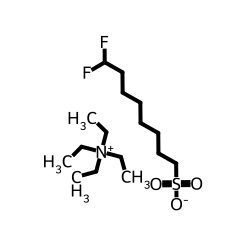 CC[N+](CC)(CC)CC.O=S(=O)([O-])CCCCCCCC(F)F